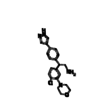 NCC(c1ccc(-c2cn[nH]c2)cc1)c1ccc(Cl)c(N2CCOCC2)c1